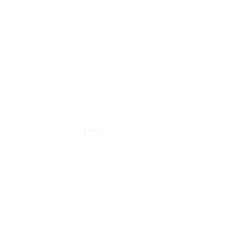 CCCCCCC[O][Sn]([c]1ccccc1)([c]1ccccc1)[c]1ccccc1